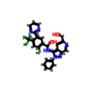 OCc1cc2c(NC(O)c3cc(-c4ncccn4)c(C(F)(F)F)cc3F)n(-c3ccccc3)nc2cn1